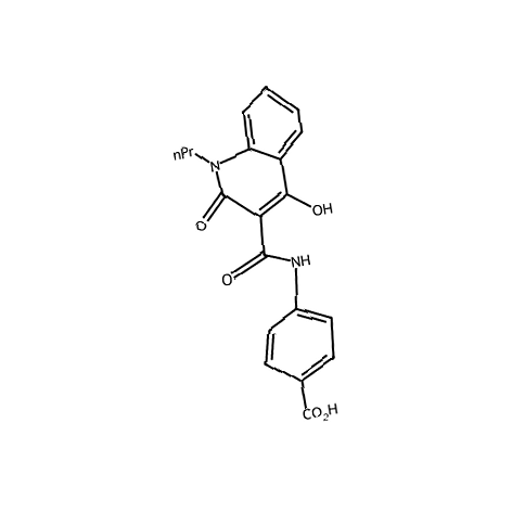 CCCn1c(=O)c(C(=O)Nc2ccc(C(=O)O)cc2)c(O)c2ccccc21